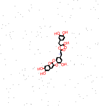 O=C(/C=C/c1ccc(Oc2cc3cc(O)c(O)cc3oc2=O)c(O)c1)OC(Cc1ccc(O)c(O)c1)C(=O)O